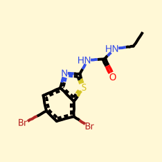 CCNC(=O)Nc1nc2cc(Br)cc(Br)c2s1